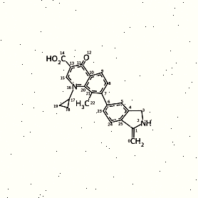 C=C1NCc2cc(-c3ccc4c(=O)c(C(=O)O)cn(C5CC5)c4c3C)ccc21